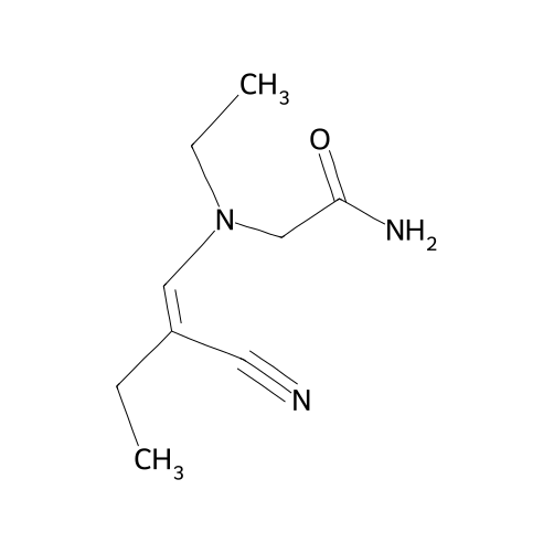 CCC(C#N)=CN(CC)CC(N)=O